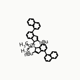 CCCCC1=Cc2c(-c3cccc4ccccc34)cccc2[CH]1[Zr]([CH]1C(CCCC)=Cc2c(-c3cccc4ccccc34)cccc21)=[Si](C)C